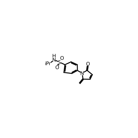 C=C1C=CC(=O)N1c1ccc(S(=O)(=O)NC(C)C)cc1